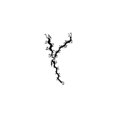 CCCCCCCC[SiH](CCCCCC)CCCCCCCC